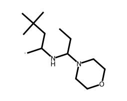 [CH2]C(CC(C)(C)C)NC(CC)N1CCOCC1